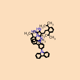 CC(C)c1cccc(C(C)C)c1CCC1C(=N)C(=N)N(c2c(C(C)C)cccc2C(C)C)/C1=N\n1c2ccccc2c2cc(-n3c4ccccc4c4ccccc43)ccc21